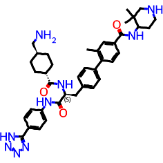 Cc1cc(C(=O)NC2CCNCC2(C)C)ccc1-c1ccc(C[C@H](NC(=O)[C@H]2CC[C@H](CN)CC2)C(=O)Nc2ccc(-c3nnn[nH]3)cc2)cc1